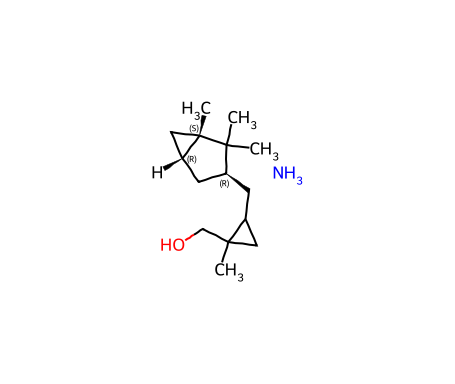 CC1(CO)CC1C[C@H]1C[C@@H]2C[C@]2(C)C1(C)C.N